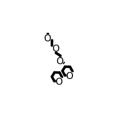 C1CCOCC1.C1CCOCC1.COCCOCCOC